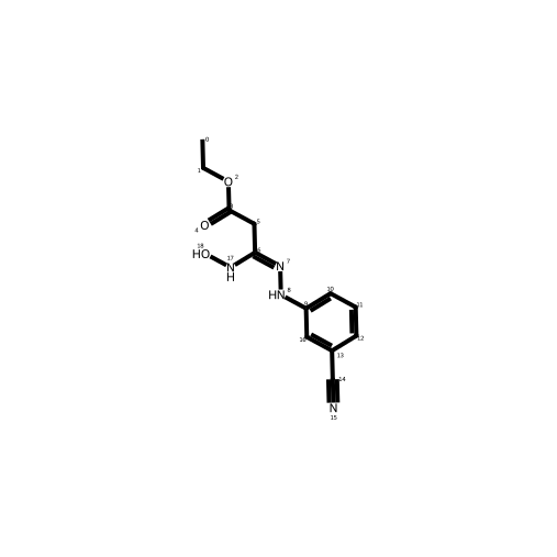 CCOC(=O)CC(=NNc1cccc(C#N)c1)NO